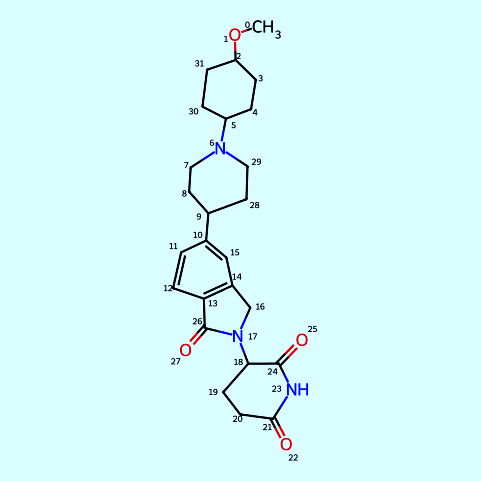 COC1CCC(N2CCC(c3ccc4c(c3)CN(C3CCC(=O)NC3=O)C4=O)CC2)CC1